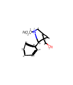 O=C(O)N1CC2CC2(CO)C1c1ccccc1